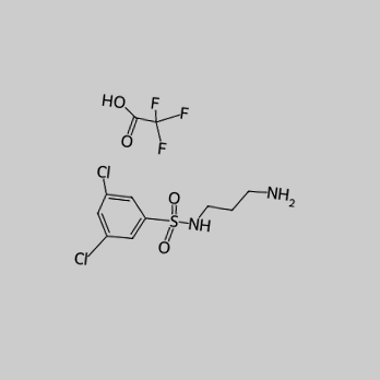 NCCCNS(=O)(=O)c1cc(Cl)cc(Cl)c1.O=C(O)C(F)(F)F